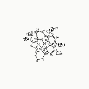 CC(C)(C)C1=CC2=C(C1)C1CCCCC1C2(C1CC=CCC1)C1c2cc(C(C)(C)C)ccc2-c2ccc(C(C)(C)C)cc21.[Cl-].[Cl-].[Zr+2]